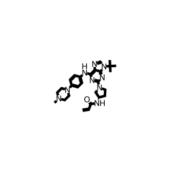 C=CC(=O)N[C@H]1CCN(c2nc(Nc3ccc(N4CCN(C)CC4)cc3)c3ncn(C(C)(C)C)c3n2)C1